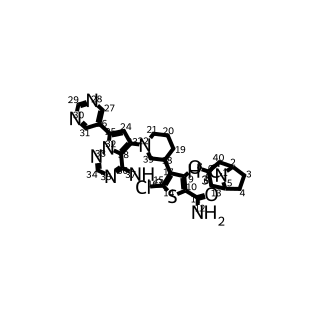 CN1C2CCC1CC(Oc1c(C(N)=O)sc(Cl)c1C1CCCN(c3cc(-c4cncnc4)n4ncnc(N)c34)C1)C2